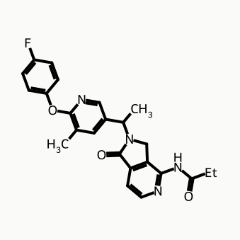 CCC(=O)Nc1nccc2c1CN(C(C)c1cnc(Oc3ccc(F)cc3)c(C)c1)C2=O